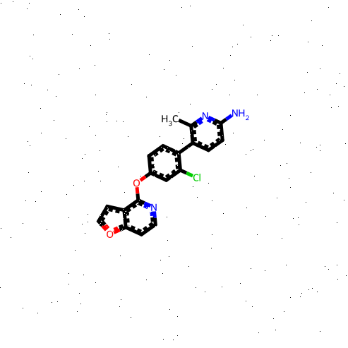 Cc1nc(N)ccc1-c1ccc(Oc2nccc3occc23)cc1Cl